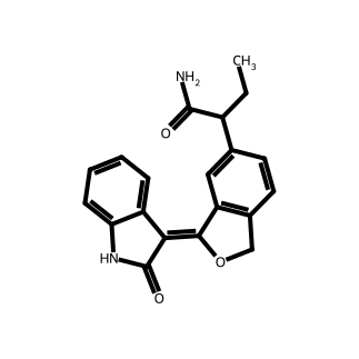 CCC(C(N)=O)c1ccc2c(c1)/C(=C1/C(=O)Nc3ccccc31)OC2